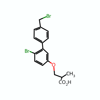 CC(COc1ccc(Br)c(-c2ccc(CBr)cc2)c1)C(=O)O